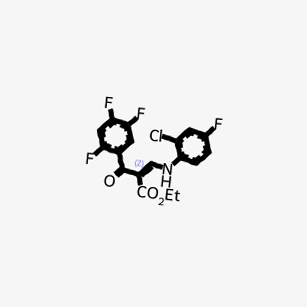 CCOC(=O)/C(=C\Nc1ccc(F)cc1Cl)C(=O)c1cc(F)c(F)cc1F